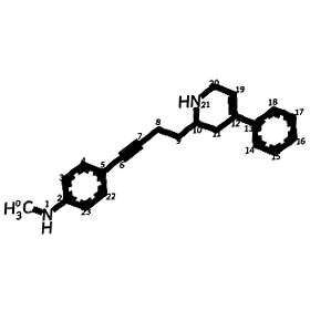 CNc1ccc(C#CCCC2CC(c3ccccc3)=CCN2)cc1